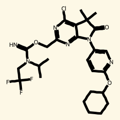 CC(C)N(CC(F)(F)F)C(=N)OCc1nc(Cl)c2c(n1)N(c1ccc(OC3CCCCC3)nc1)C(=O)C2(C)C